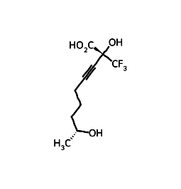 C[C@@H](O)CCCC#C[C@@](O)(C(=O)O)C(F)(F)F